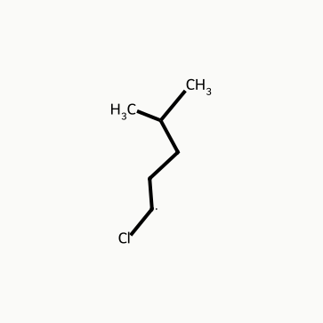 CC(C)CC[CH]Cl